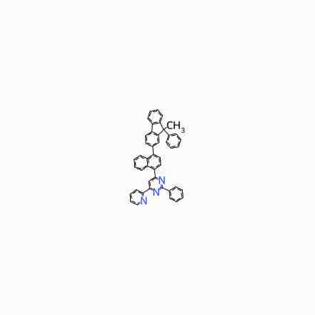 CC1(c2ccccc2)c2ccccc2-c2ccc(-c3ccc(-c4cc(-c5ccccn5)nc(-c5ccccc5)n4)c4ccccc34)cc21